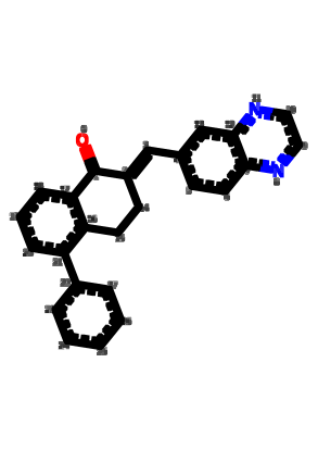 O=C1C(=Cc2ccc3nccnc3c2)CCc2c1cccc2-c1ccccc1